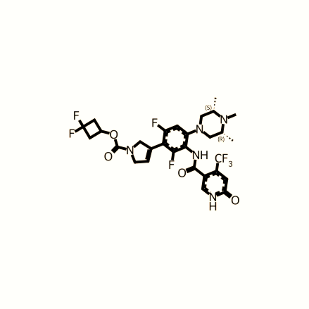 C[C@@H]1CN(c2cc(F)c(C3=CCN(C(=O)OC4CC(F)(F)C4)C3)c(F)c2NC(=O)c2c[nH]c(=O)cc2C(F)(F)F)C[C@H](C)N1C